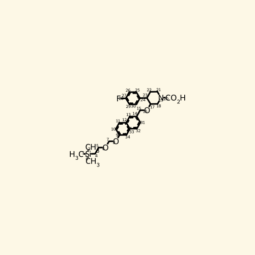 C[Si](C)(C)CCOCOc1ccc2cc(COC3CN(C(=O)O)CCC3c3ccc(F)cc3)ccc2c1